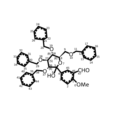 COc1ccc(C2(O)O[C@H](COCc3ccccc3)[C@@H](OCc3ccccc3)[C@H](OCc3ccccc3)[C@H]2OCc2ccccc2)cc1C=O